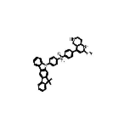 CCCC1C=C(c2ccc(S(=O)(=O)c3ccc(-n4c5ccccc5c5cc6c(cc54)C(C)(C)c4ccccc4-6)cc3)cc2)C2CNCCC2N1